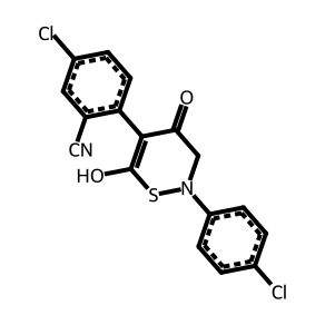 N#Cc1cc(Cl)ccc1C1=C(O)SN(c2ccc(Cl)cc2)CC1=O